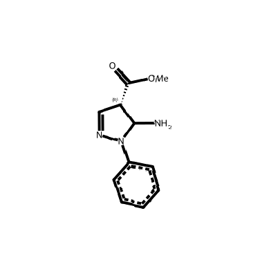 COC(=O)[C@H]1C=NN(c2ccccc2)C1N